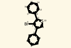 Brc1c(-c2ccccc2)csc1-c1ccccc1